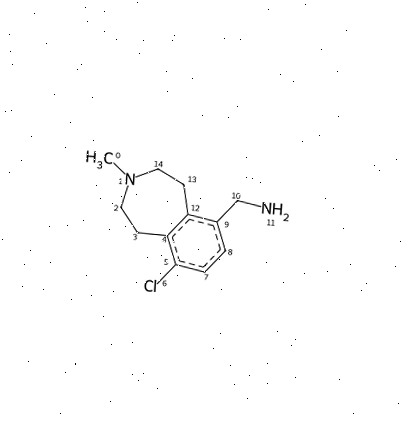 CN1CCc2c(Cl)ccc(CN)c2CC1